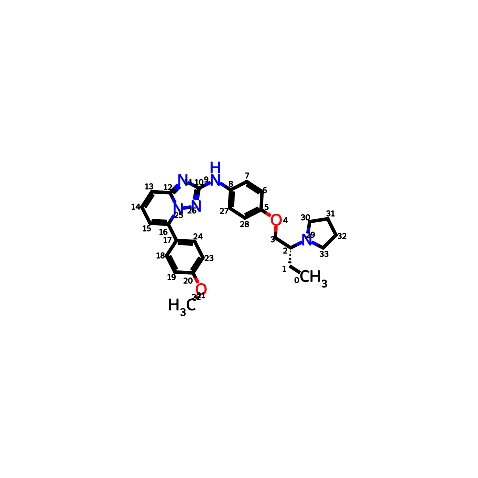 CC[C@H](COc1ccc(Nc2nc3cccc(-c4ccc(OC)cc4)n3n2)cc1)N1CCCC1